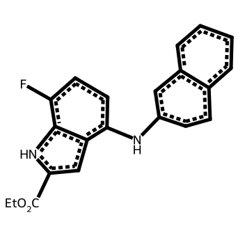 CCOC(=O)c1cc2c(Nc3ccc4ccccc4c3)ccc(F)c2[nH]1